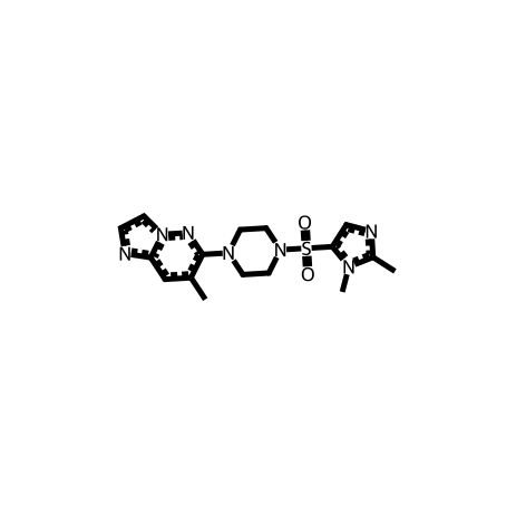 Cc1cc2nccn2nc1N1CCN(S(=O)(=O)c2cnc(C)n2C)CC1